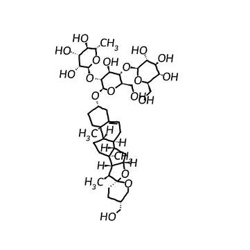 C[C@@H]1O[C@@H](O[C@H]2[C@H](O[C@H]3CC[C@@]4(C)C(=CC[C@H]5[C@@H]6C[C@@H]7O[C@]8(CC[C@@H](CO)CO8)[C@@H](C)[C@@H]7[C@@]6(C)CC[C@@H]54)C3)O[C@H](CO)[C@@H](O[C@@H]3O[C@H](CO)[C@@H](O)[C@H](O)[C@H]3O)[C@@H]2O)[C@H](O)[C@H](O)[C@H]1O